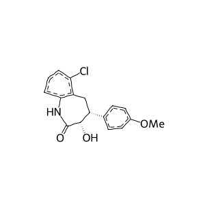 COc1ccc([C@H]2Cc3c(Cl)cccc3NC(=O)[C@H]2O)cc1